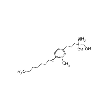 CCCCCCCOc1ccc(CCCC(N)(O)CO)cc1C